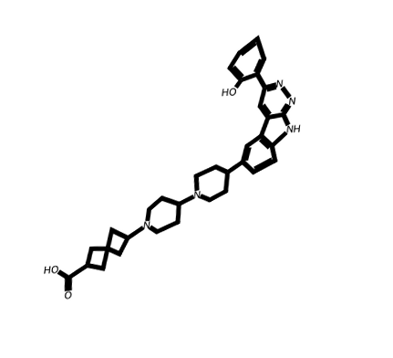 O=C(O)C1CC2(C1)CC(N1CCC(N3CCC(c4ccc5[nH]c6nnc(-c7ccccc7O)cc6c5c4)CC3)CC1)C2